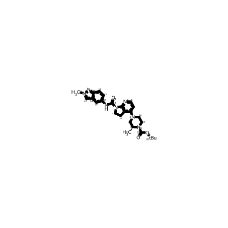 C[C@@H]1CN(c2ccnc3c2CCN3C(=O)Nc2ccc3nn(C)cc3c2)CCN1C(=O)OC(C)(C)C